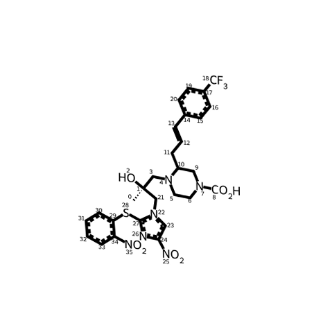 C[C@](O)(CN1CCN(C(=O)O)CC1CC=Cc1ccc(C(F)(F)F)cc1)Cn1cc([N+](=O)[O-])nc1Sc1ccccc1[N+](=O)[O-]